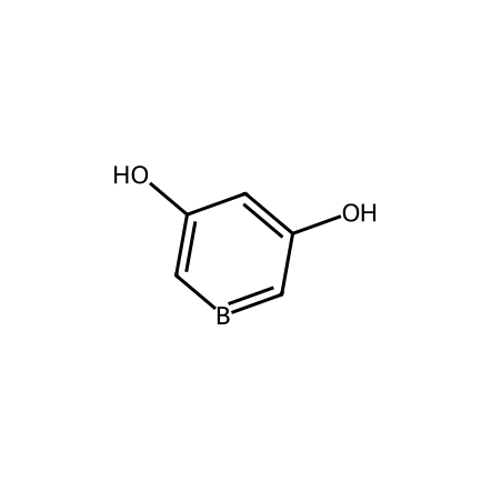 Oc1cbcc(O)c1